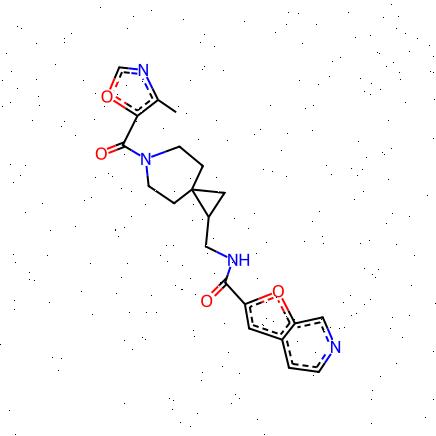 Cc1ncoc1C(=O)N1CCC2(CC1)CC2CNC(=O)c1cc2ccncc2o1